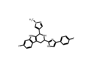 Cn1cc(C2NC(c3nc(-c4ccc(F)cc4)c[nH]3)Cc3c2[nH]c2cc(F)ccc32)cn1